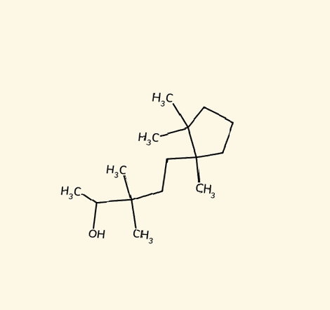 CC(O)C(C)(C)CCC1(C)CCCC1(C)C